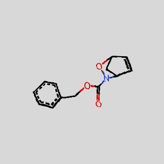 O=C(OCc1ccccc1)N1OC2C=CC1C2